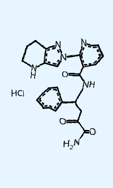 Cl.NC(=O)C(=O)CC(NC(=O)c1cccnc1-n1cc2c(n1)CCCN2)c1ccccc1